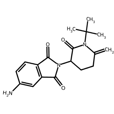 C=C1CCC(N2C(=O)c3ccc(N)cc3C2=O)C(=O)N1C(C)(C)C